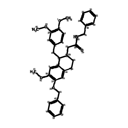 COc1ccc(CC2c3cc(OC)c(OCc4ccccc4)cc3CCN2CC(=O)NCc2ccccc2)cc1OC